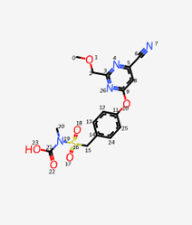 COCc1nc(C#N)cc(Oc2ccc(CS(=O)(=O)N(C)C(=O)O)cc2)n1